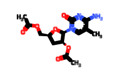 CC(=O)OC[C@@H]1C[C@@H](OC(C)=O)[C@H](n2cc(C)c(N)nc2=O)O1